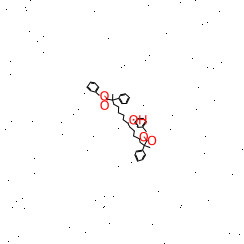 CC(CCCCCC(O)CCCCCC(C)(C(=O)OCc1ccccc1)c1ccccc1)(C(=O)OCc1ccccc1)c1ccccc1